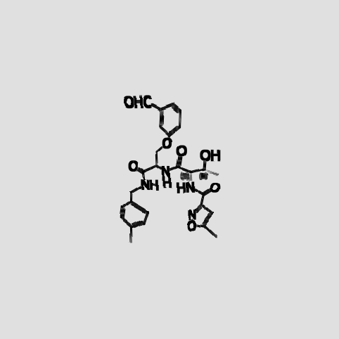 Cc1ccc(CNC(=O)C(COc2cccc(C=O)c2)NC(=O)[C@@H](NC(=O)c2cc(C)on2)[C@@H](C)O)cc1